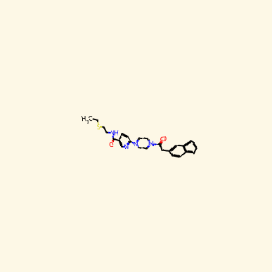 CCSCCNC(=O)c1ccc(N2CCN(C(=O)Cc3ccc4ccccc4c3)CC2)nc1